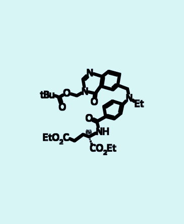 CCOC(=O)CC[C@H](NC(=O)c1ccc(N(CC)Cc2ccc3ncn(COC(=O)C(C)(C)C)c(=O)c3c2)cc1)C(=O)OCC